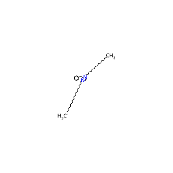 CCCCCCCCCCCCCCCCCCC[n+]1ccn(CCCCCCCCCCCCCCC)c1Cc1ccccc1